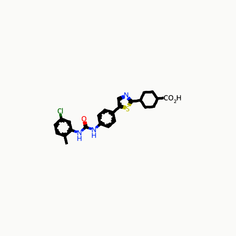 Cc1ccc(Cl)cc1NC(=O)Nc1ccc(-c2cnc(C3CCC(C(=O)O)CC3)s2)cc1